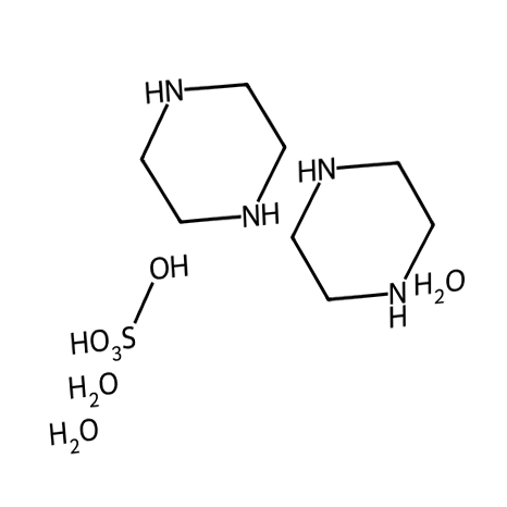 C1CNCCN1.C1CNCCN1.O.O.O.O=S(=O)(O)O